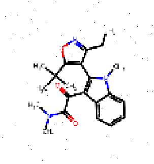 CCc1noc(C(C)(C)C)c1-c1c(C(=O)C(=O)N(C)C)c2ccccc2n1C